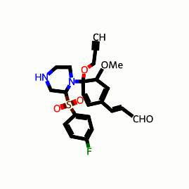 C#CCOC1(N2CCNCC2S(=O)(=O)c2ccc(F)cc2)C=CC(C=CC=O)=CC1OC